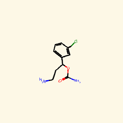 NCCC(OC(N)=O)c1cccc(Cl)c1